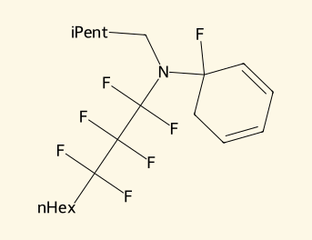 CCCCCCC(F)(F)C(F)(F)C(F)(F)N(CC(C)CCC)C1(F)C=CC=CC1